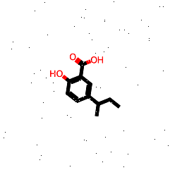 CCC(C)c1ccc(O)c(C(=O)O)c1